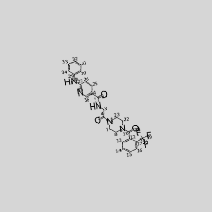 O=C(NCC(=O)N1CCN(C(=O)c2ccccc2C(F)(F)F)CC1)c1ccc(Nc2ccccc2)nc1